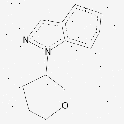 c1ccc2c(c1)cnn2C1CCCOC1